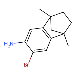 CC12CCC(C)(C1)c1cc(Br)c(N)cc12